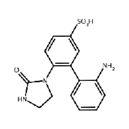 Nc1ccccc1-c1cc(S(=O)(=O)O)ccc1N1CCNC1=O